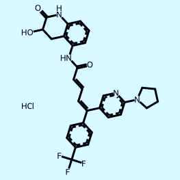 Cl.O=C(/C=C/C=C(/c1ccc(C(F)(F)F)cc1)c1ccc(N2CCCC2)nc1)Nc1cccc2c1CC(O)C(=O)N2